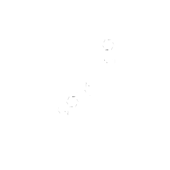 CN(CCC1CCN(C(=O)Oc2ccc(NC(=O)C3CCCCC3)cc2)CC1)Cc1ccccc1